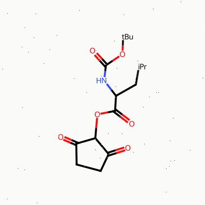 CC(C)CC(NC(=O)OC(C)(C)C)C(=O)OC1C(=O)CCC1=O